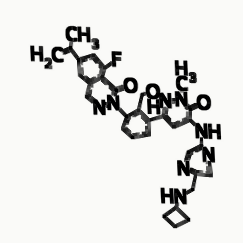 C=C(C)c1cc(F)c2c(=O)n(-c3cccc(-c4cc(Nc5cnc(CNC6CCC6)cn5)c(=O)n(C)n4)c3CO)ncc2c1